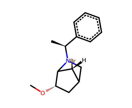 CO[C@H]1CC2CN([C@@H](C)c3ccccc3)C1[C@@H]2Br